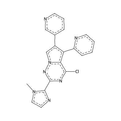 Cn1ccnc1-c1nc(Cl)c2c(-c3ccccn3)c(-c3cccnc3)cn2n1